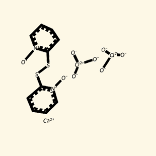 [Ca+2].[O-][Cl+2]([O-])[O-].[O-][Cl+2]([O-])[O-].[O-][n+]1ccccc1SSc1cccc[n+]1[O-]